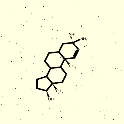 C[C@]12C=C[C@]([NH])(N)CC1CCC1C2CC[C@@]2(C)C1CC[C@@H]2O